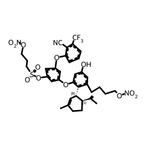 C=C(C)[C@H]1CCC(C)=C[C@@H]1c1c(CCCCO[N+](=O)[O-])cc(O)cc1Oc1cc(Oc2cccc(C(F)(F)F)c2C#N)cc(OS(=O)(=O)CCCO[N+](=O)[O-])c1